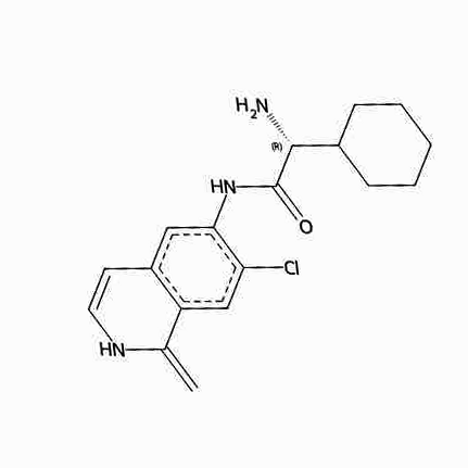 C=C1NC=Cc2cc(NC(=O)[C@H](N)C3CCCCC3)c(Cl)cc21